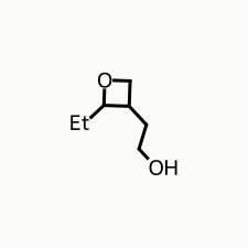 CCC1OCC1CCO